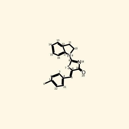 Cc1ccc(/C=C2\SC(N3CCc4ccccc43)=NC2=O)cc1